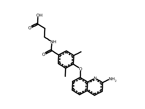 Cc1cc(C(=O)NCCC(=O)O)cc(C)c1Oc1cccc2ccc(N)nc12